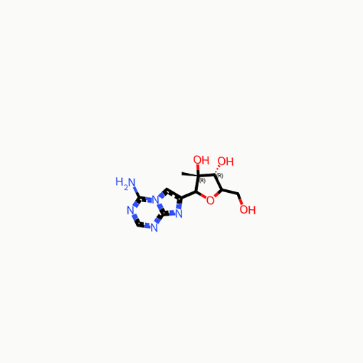 C[C@]1(O)C(c2cn3c(N)ncnc3n2)OC(CO)[C@H]1O